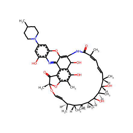 CC(=O)O[C@H]1[C@H](C)[C@H](O)[C@H](C)[C@@H](O)[C@@H](C)/C=C/C=C(/C)C(=O)NC2=C3Oc4cc(N5CCC(C)CC5)cc(O)c4N=C3c3c4c(c(C)c(O)c3C2O)O[C@](C)(O/C=C/[C@H](C)[C@H]1C)C4=O